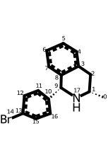 C[C@H]1Cc2ccccc2[C@@H](c2ccc(Br)cc2)N1